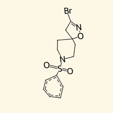 O=S(=O)(c1ccccc1)N1CCC2(CC1)CC(Br)=NO2